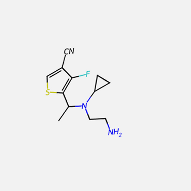 CC(c1scc(C#N)c1F)N(CCN)C1CC1